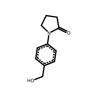 O=C1CCCN1c1ccc(CO)cc1